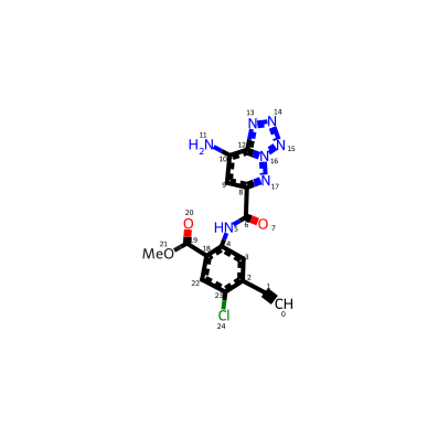 C#Cc1cc(NC(=O)c2cc(N)c3nnnn3n2)c(C(=O)OC)cc1Cl